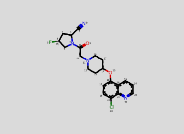 N#CC1C[C@H](F)CN1C(=O)CN1CCC(Oc2ccc(Cl)c3ncccc23)CC1